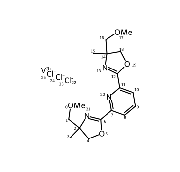 COCC1(C)COC(c2cccc(C3=NC(C)(COC)CO3)n2)=N1.[Cl-].[Cl-].[Cl-].[V+3]